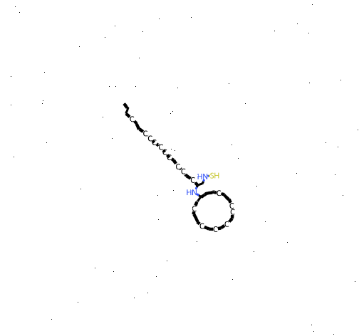 C=CC=C=C=C=C=C=C=C=C=C=C=C=C=C=C=C(CNS)NC1=C=C=C=C=C=C=C=C=C=C=C=C=C=C=C=C=C1